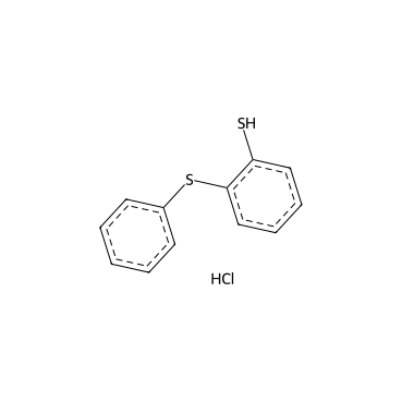 Cl.Sc1ccccc1Sc1ccccc1